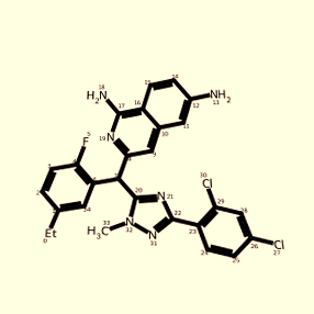 CCc1ccc(F)c(C(c2cc3cc(N)ccc3c(N)n2)c2nc(-c3ccc(Cl)cc3Cl)nn2C)c1